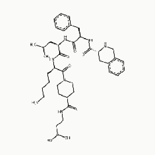 CC(C)C[C@@H](NC(=O)[C@@H](Cc1ccccc1)NC(=O)[C@H]1Cc2ccccc2CN1)C(=O)N[C@H](CCCCN)C(=O)N1CCC(C(=O)NCCB(O)O)CC1